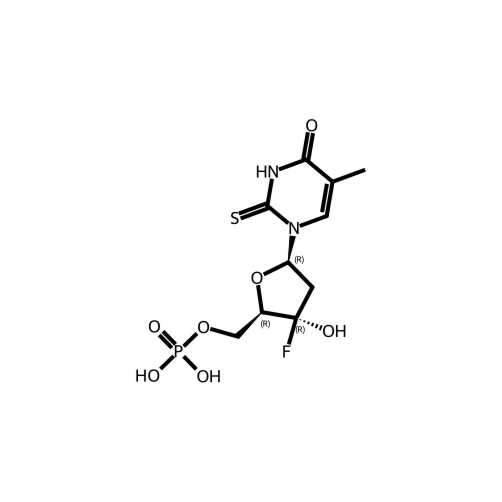 Cc1cn([C@H]2C[C@@](O)(F)[C@@H](COP(=O)(O)O)O2)c(=S)[nH]c1=O